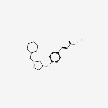 Cl.O=C(/C=C/c1ccc(NC2CCN(CC3CCCCC3)C2)cc1)NO